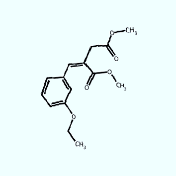 CCOc1cccc(C=C(CC(=O)OC)C(=O)OC)c1